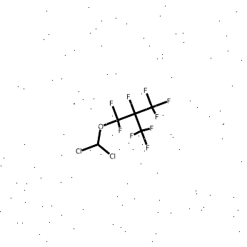 FC(F)(F)C(F)(C(F)(F)F)C(F)(F)OC(Cl)Cl